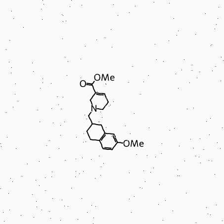 COC(=O)C1=CCCN(CC2CCc3ccc(OC)cc3C2)C1